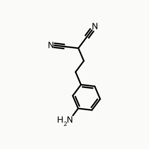 N#CC(C#N)CCc1cccc(N)c1